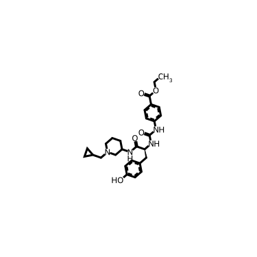 CCOC(=O)c1ccc(NC(=O)N[C@@H](Cc2ccc(O)cc2)C(=O)NC2CCCN(CC3CC3)C2)cc1